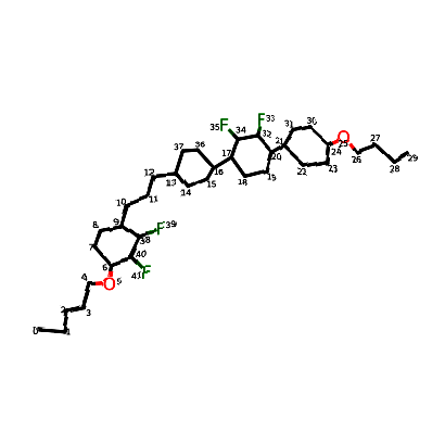 CCCCCOC1CCC(CCCC2CCC(C3CCC(C4CCC(OCCCC)CC4)C(F)C3F)CC2)C(F)C1F